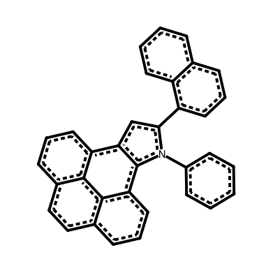 c1ccc(-n2c(-c3cccc4ccccc34)cc3c4cccc5ccc6cccc(c6c54)c32)cc1